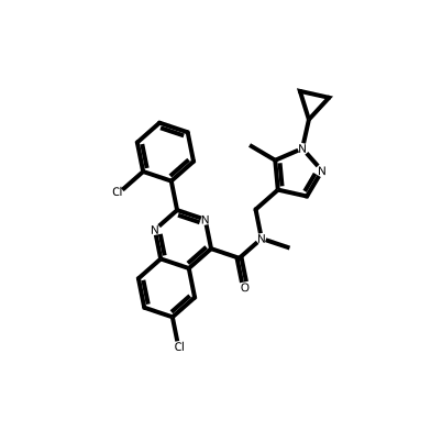 Cc1c(CN(C)C(=O)c2nc(-c3ccccc3Cl)nc3ccc(Cl)cc23)cnn1C1CC1